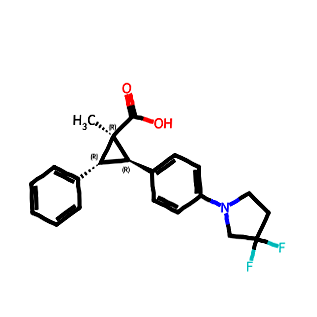 C[C@@]1(C(=O)O)[C@@H](c2ccccc2)[C@@H]1c1ccc(N2CCC(F)(F)C2)cc1